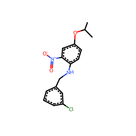 CC(C)Oc1ccc(NCc2cccc(Cl)c2)c([N+](=O)[O-])c1